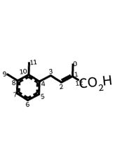 C/C(=C\Cc1cccc(C)c1C)C(=O)O